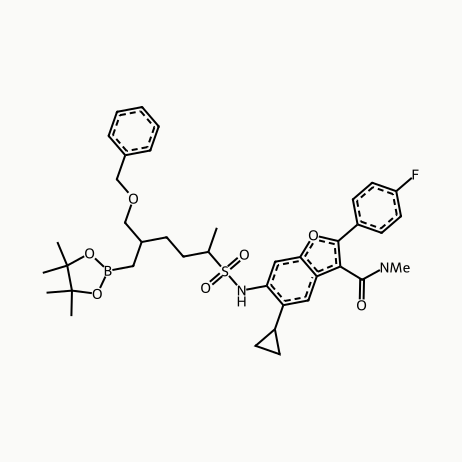 CNC(=O)c1c(-c2ccc(F)cc2)oc2cc(NS(=O)(=O)C(C)CCC(COCc3ccccc3)CB3OC(C)(C)C(C)(C)O3)c(C3CC3)cc12